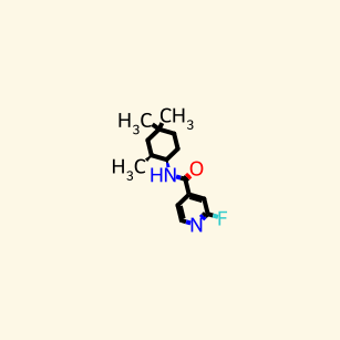 C[C@H]1CC(C)(C)CC[C@H]1NC(=O)c1ccnc(F)c1